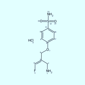 Cl.NC/C(=C\F)COc1ccc(S(N)(=O)=O)cc1